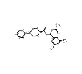 NC(=O)OC(CC(=O)N1CCN(c2ccccc2)CC1)c1cc(C(F)(F)F)cc(C(F)(F)F)c1